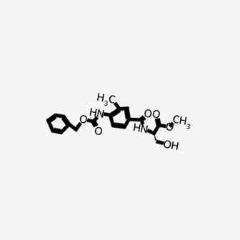 COC(=O)[C@H](CO)NC(=O)c1ccc(NC(=O)OCc2ccccc2)c(C)c1